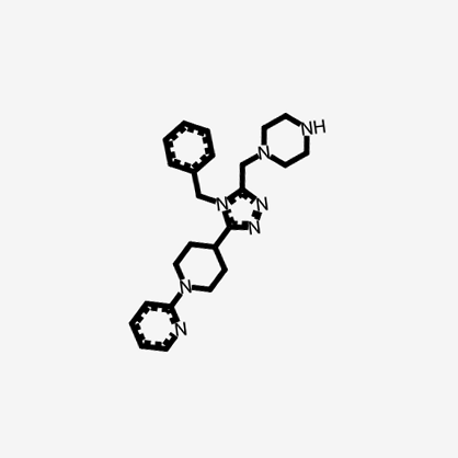 c1ccc(Cn2c(CN3CCNCC3)nnc2C2CCN(c3ccccn3)CC2)cc1